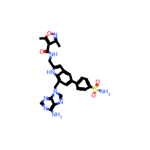 Cc1noc(C)c1C(=O)NCc1cc2cc(-c3ccc(S(N)(=O)=O)cc3)cc(Cn3cnc4c(N)ncnc43)c2[nH]1